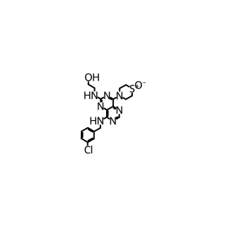 [O-][S+]1CCN(c2nc(NCCO)nc3c(NCc4cccc(Cl)c4)ncnc23)CC1